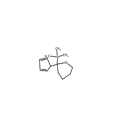 C[Si](C)(C)C1(C2C=CC=C2)CCCCO1